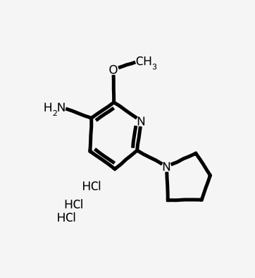 COc1nc(N2CCCC2)ccc1N.Cl.Cl.Cl